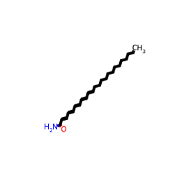 CCCCCCCCCCCCC/C=C/C=C/C=C/C=C/C=C/C(N)=O